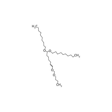 CCCCCCCCCCOC(CCCCC=COCOCCCC)OCCCCCCCCCC